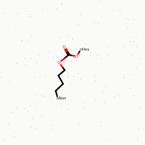 CCCCCCCCCCCCCOC(=O)OCCCCCC